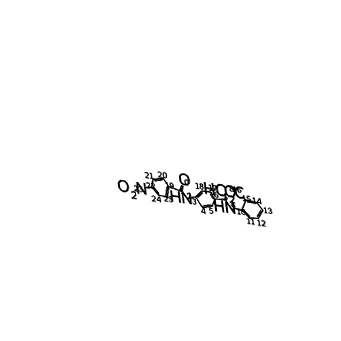 O=C(Nc1ccc(C(=O)Nc2ccccc2C(=O)O)cc1)c1ccc([N+](=O)[O-])cc1